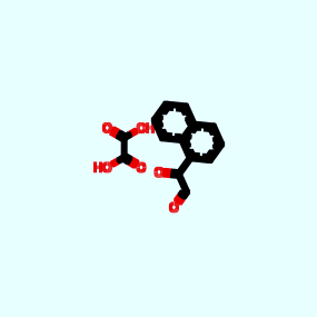 O=C(O)C(=O)O.O=CC(=O)c1cccc2ccccc12